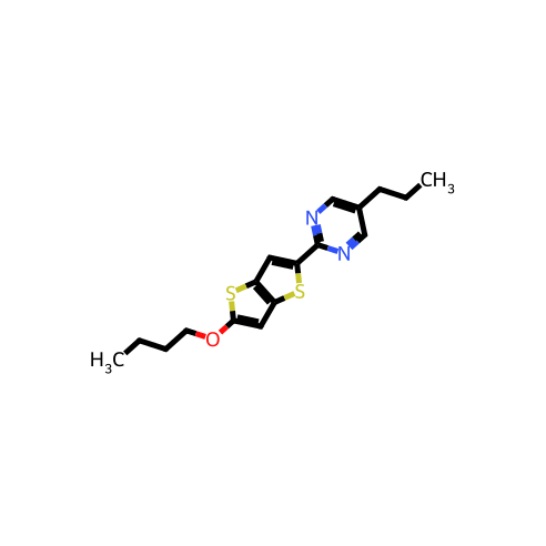 CCCCOc1cc2sc(-c3ncc(CCC)cn3)cc2s1